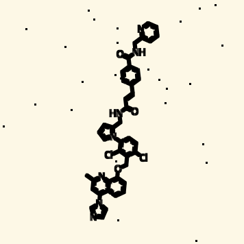 Cc1cc(-n2ccnc2)c2cccc(OCc3c(Cl)ccc(-n4cccc4CNC(=O)C=Cc4ccc(C(=O)NCc5ccccn5)cc4)c3Cl)c2n1